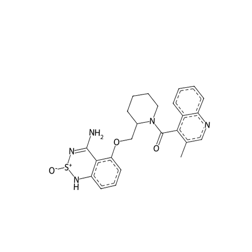 Cc1cnc2ccccc2c1C(=O)N1CCCCC1COc1cccc2c1C(N)=N[S+]([O-])N2